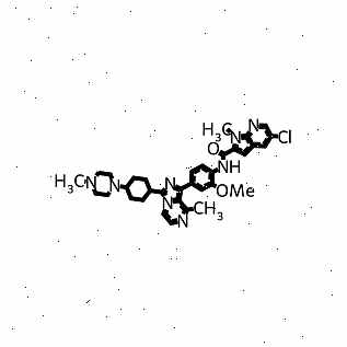 COc1cc(-c2nc(C3CCC(N4CCN(C)CC4)CC3)n3ccnc(C)c23)ccc1NC(=O)c1cc2cc(Cl)cnc2n1C